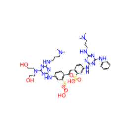 CN(C)CCCNc1nc(Nc2ccccc2)nc(Nc2ccc(/C=C/c3ccc(Nc4nc(NCCCN(C)C)nc(N(CCO)CCO)n4)cc3SOOO)c(S(=O)(=O)O)c2)n1